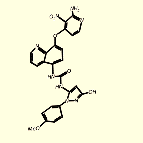 COc1ccc(-n2nc(O)cc2NC(=O)Nc2ccc(Oc3ccnc(N)c3[N+](=O)[O-])c3ncccc23)cc1